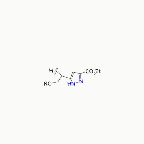 CCOC(=O)c1cc(C(C)CC#N)[nH]n1